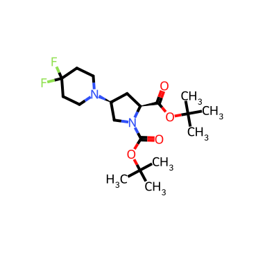 CC(C)(C)OC(=O)[C@@H]1C[C@H](N2CCC(F)(F)CC2)CN1C(=O)OC(C)(C)C